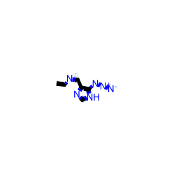 C=C/N=C\c1nc[nH]c1N=[N+]=[N-]